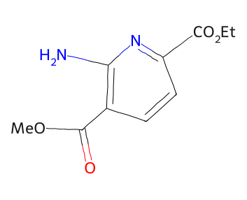 CCOC(=O)c1ccc(C(=O)OC)c(N)n1